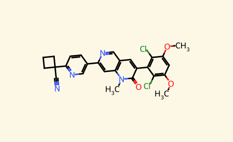 COc1cc(OC)c(Cl)c(-c2cc3cnc(-c4ccc(C5(C#N)CCC5)nc4)cc3n(C)c2=O)c1Cl